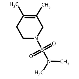 CC1=C(C)CN(S(=O)(=O)N(C)C)CC1